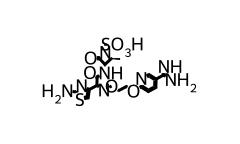 C[C@H]1[C@H](NC(=O)/C(=N\OCCOc2ccc(C(=N)N)cn2)c2csc(N)n2)C(=O)N1S(=O)(=O)O